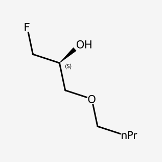 CCCCOC[C@H](O)CF